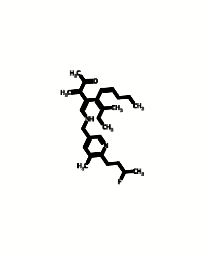 C=C(C(C)=O)C(=C/NCc1cnc(CCC(C)F)c(C)c1)/C(/C=C\CCC)=C(/C)CC